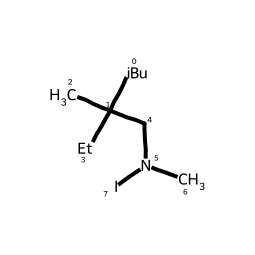 CCC(C)C(C)(CC)CN(C)I